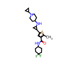 Cc1sc(C2CC2NC2CCN(C3CC3)CC2)cc1C(=O)NC1CCC(F)(F)CC1